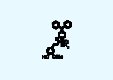 CCC(N)(C(=O)C=Cc1ccc(O)c(OC)c1)N1CCN(C(c2ccccc2)c2ccccc2)CC1